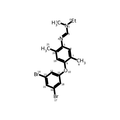 CCN(C)/C=N/c1cc(C)c(Oc2cc(Br)cc(Br)c2)cc1C